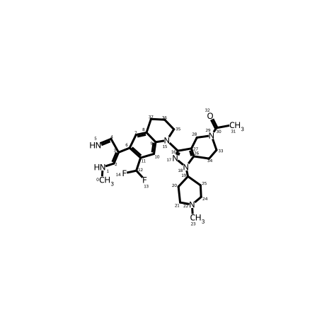 CN/C=C(\C=N)c1cc2c(cc1C(F)F)N(c1nn(C3CCN(C)CC3)c3c1CN(C(C)=O)CC3)CCC2